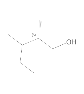 CCC(C)[C@H](C)CO